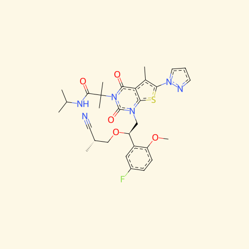 COc1ccc(F)cc1[C@H](Cn1c(=O)n(C(C)(C)C(=O)NC(C)C)c(=O)c2c(C)c(-n3cccn3)sc21)OC[C@H](C)C#N